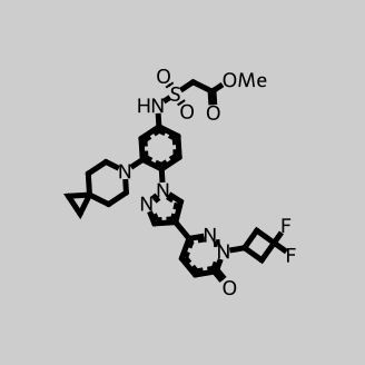 COC(=O)CS(=O)(=O)Nc1ccc(-n2cc(-c3ccc(=O)n(C4CC(F)(F)C4)n3)cn2)c(N2CCC3(CC2)CC3)c1